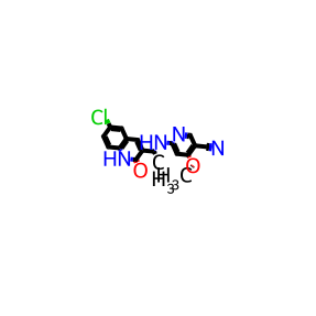 COc1cc(NC(C)c2cc3cc(Cl)ccc3[nH]c2=O)ncc1C#N